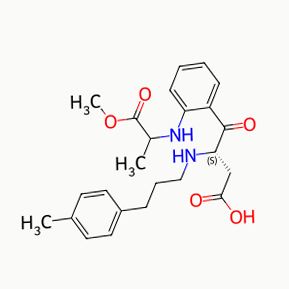 COC(=O)C(C)Nc1ccccc1C(=O)[C@H](CC(=O)O)NCCCc1ccc(C)cc1